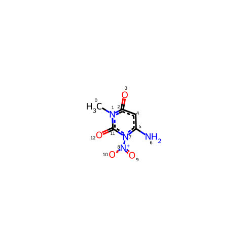 Cn1c(=O)cc(N)n([N+](=O)[O-])c1=O